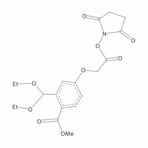 CCOC(OCC)c1cc(OCC(=O)ON2C(=O)CCC2=O)ccc1C(=O)OC